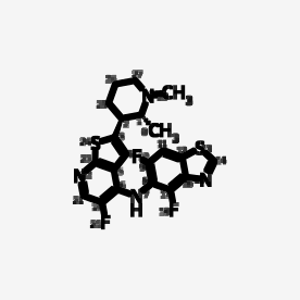 C[C@@H]1[C@@H](c2cc3c(Nc4c(F)cc5scnc5c4F)c(F)cnc3s2)CCCN1C